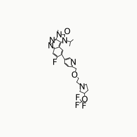 CC(C)n1c(=O)n(C)c2nnc3cc(F)c(-c4ccc(COCCN5CCC(OC(F)(F)F)C5)nc4)cc3c21